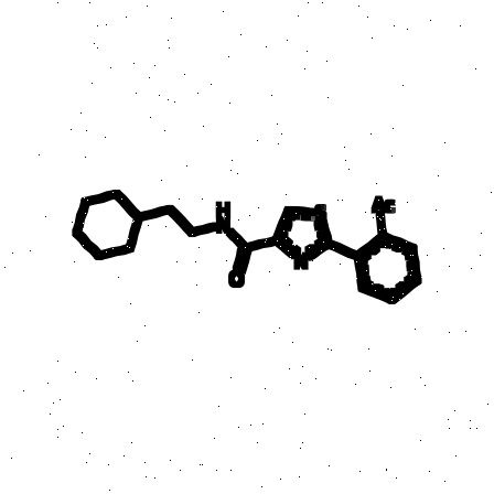 CC(=O)c1ccccc1-c1nc(C(=O)NCCC2CCCCC2)cs1